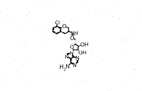 Nc1ncnc2c1ncn2[C@@H]1O[C@H](CONC2COc3c(Cl)cccc3C2)[C@@H](O)[C@H]1O